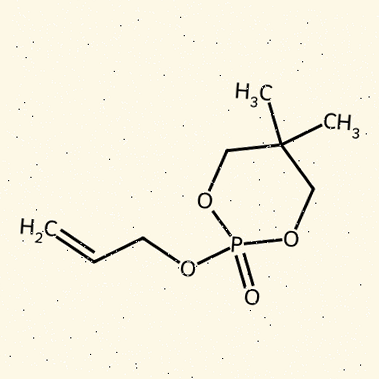 C=CCOP1(=O)OCC(C)(C)CO1